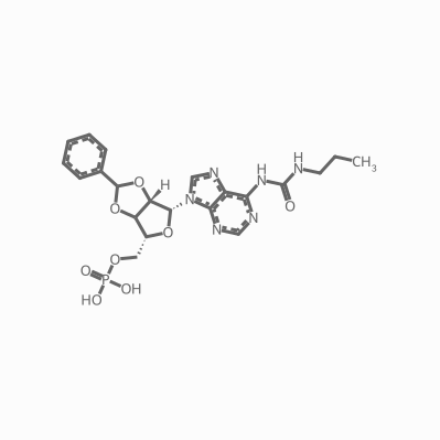 CCCNC(=O)Nc1ncnc2c1ncn2[C@@H]1O[C@H](COP(=O)(O)O)C2OC(c3ccccc3)O[C@@H]21